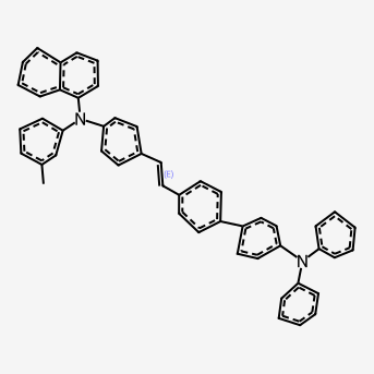 Cc1cccc(N(c2ccc(/C=C/c3ccc(-c4ccc(N(c5ccccc5)c5ccccc5)cc4)cc3)cc2)c2cccc3ccccc23)c1